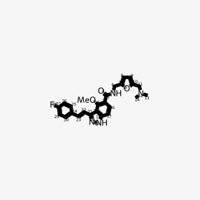 COc1c(C(=O)NCc2ccc(CN(C)C)o2)ccc2[nH]nc(/C=C/c3ccc(F)cc3)c12